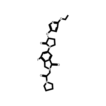 CCOc1ccc(O[C@@H]2CCN(c3cc(F)c4c(c3)C(=O)N(CC(=O)N3CCCC3)C4)C2=O)cn1